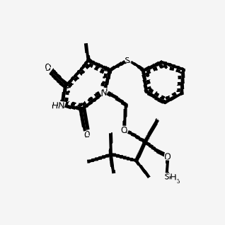 Cc1c(Sc2ccccc2)n(COC(C)(O[SiH3])C(C)C(C)(C)C)c(=O)[nH]c1=O